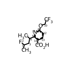 CC(F)CC(C)c1nc(OCC(F)(F)F)ccc1C(=O)O